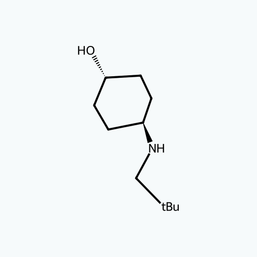 CC(C)(C)CN[C@H]1CC[C@H](O)CC1